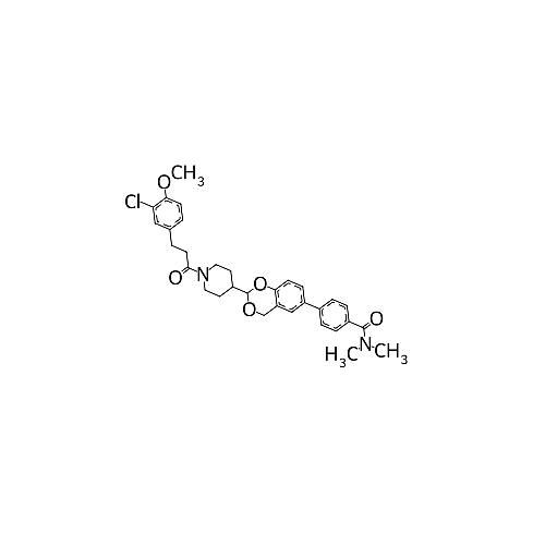 COc1ccc(CCC(=O)N2CCC(C3OCc4cc(-c5ccc(C(=O)N(C)C)cc5)ccc4O3)CC2)cc1Cl